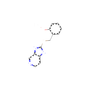 COc1ccccc1CSc1nc2cnccc2[nH]1